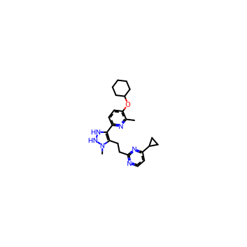 Cc1nc(C2=C(CCc3nccc(C4CC4)n3)N(C)NN2)ccc1OC1CCCCC1